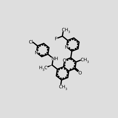 Cc1cc([C@@H](C)Nc2ccc(Cl)nc2)c2oc(-c3cccc(C(C)F)n3)c(C)c(=O)c2c1